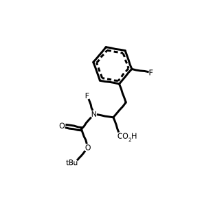 CC(C)(C)OC(=O)N(F)C(Cc1ccccc1F)C(=O)O